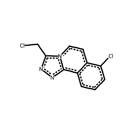 ClCc1nnc2c3cccc(Cl)c3ccn12